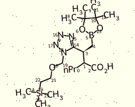 CCCC(C(=O)O)[C@H](CB1OC(C)(C)C(C)(C)O1)c1nnnn1COCC[Si](C)(C)C